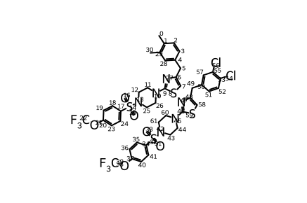 Cc1ccc(Cc2csc(N3CCN(S(=O)(=O)c4ccc(OC(F)(F)F)cc4)CC3)n2)cc1C.O=S(=O)(c1ccc(OC(F)(F)F)cc1)N1CCN(c2nc(Cc3ccc(Cl)c(Cl)c3)cs2)CC1